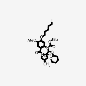 C=C1C[C@H]2C(OC3CCCCO3)N(C(=O)OC(C)(C)C)c3cc(OCCCCCI)c(OC)cc3C(=O)N2C1